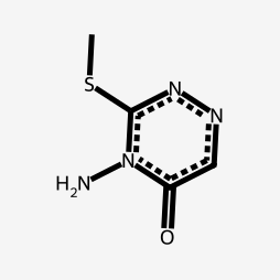 CSc1nncc(=O)n1N